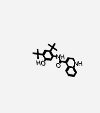 CC(C)(C)c1cc(C(C)(C)C)c(NC(=O)C2=CCNc3ccccc32)cc1O